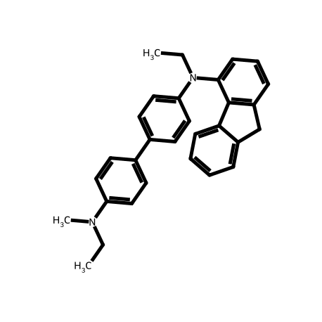 CCN(C)c1ccc(-c2ccc(N(CC)c3cccc4c3-c3ccccc3C4)cc2)cc1